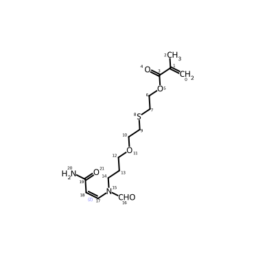 C=C(C)C(=O)OCCSCCOCCCN(C=O)/C=C\C(N)=O